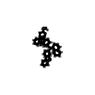 CC1CC2CC(C)CC(C1)C21c2ccccc2-c2cc(N(c3ccc4c(c3)oc3ccccc34)c3cccc4ccccc34)ccc21